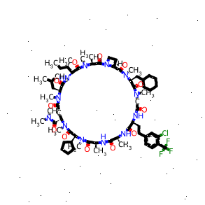 CC[C@H](C)[C@@H]1NC(=O)[C@H](CC(C)C)N(C)C(=O)C[C@@H](C(=O)N(C)C)N(C)C(=O)[C@H](C2CCCC2)N(C)C(=O)[C@H](C)NC(=O)[C@@H](C)NC(=O)[C@H](CCc2ccc(C(F)(F)F)c(Cl)c2)NC(=O)CN(C)C(=O)[C@H](CC2CCCCC2)N(C)C(=O)[C@@H]2CCN2C(=O)[C@H](C)N(C)C1=O